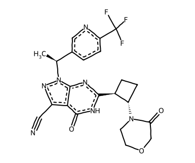 C[C@@H](c1ccc(C(F)(F)F)nc1)n1nc(C#N)c2c(=O)[nH]c([C@H]3CC[C@@H]3N3CCOCC3=O)nc21